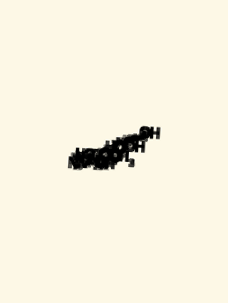 C[C@]12CC[C@H]3[C@@H](CCC4CC(O)(CC#CCO)CC[C@@]43C)[C@@H]1CC[C@@H]2C(=O)Cn1cncn1